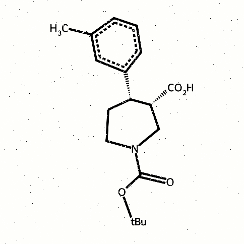 Cc1cccc([C@H]2CCN(C(=O)OC(C)(C)C)C[C@H]2C(=O)O)c1